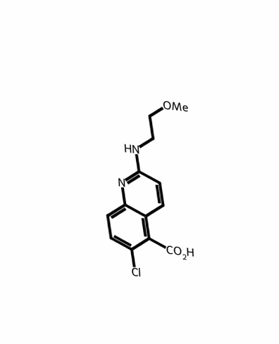 COCCNc1ccc2c(C(=O)O)c(Cl)ccc2n1